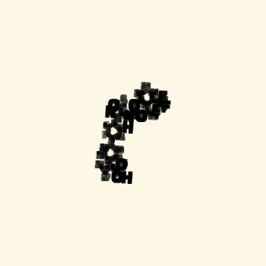 Cc1onc(-c2ccc(-c3ccc(C4(C(=O)O)CC4)cc3)cc2)c1NC(=O)O[C@H](C)c1ccccc1C(F)(F)F